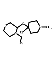 CCC1(OC2COCCN2CC(C)C)CCN(C)CC1